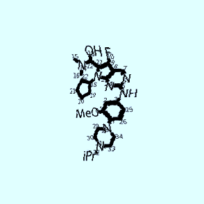 COc1cc(Nc2ncc3c(F)c(C(O)N(C)C)n(C4CCCC4)c3n2)ccc1N1CCN(C(C)C)CC1